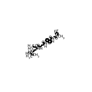 CC(C)C(=O)[C@H](CCCNC(=N)N(C)C)NC(=O)CCCC(=O)Nc1cccc2c(C(=O)NCC(=O)N3CC(F)(F)C[C@H]3C)ccnc12